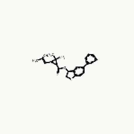 CC(C)=CC1C(C(=O)OC2COc3ccc(-c4ccccc4)cc32)C1(C)C